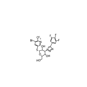 OCC1O[C@H](Sc2cnc(C(F)(F)F)c(Br)c2)C(O)[C@@H](n2cc(-c3cc(F)c(F)c(F)c3)nn2)[C@H]1O